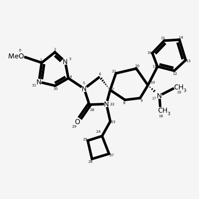 COc1cnc(N2C[C@]3(CC[C@@](c4ccccc4)(N(C)C)CC3)N(CC3CCC3)C2=O)cn1